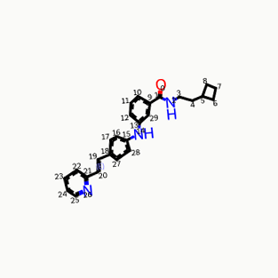 O=C(NCCC1CCC1)c1cccc(Nc2ccc(/C=C/c3ccccn3)cc2)c1